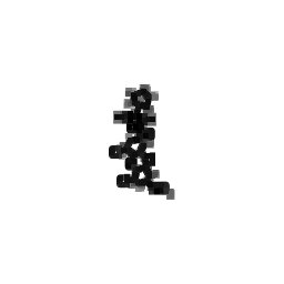 N=C(NS(=O)(=O)c1cc(Cl)c(Oc2ccc([N+](=O)[O-])cc2Cl)c(Cl)c1)c1ccccc1